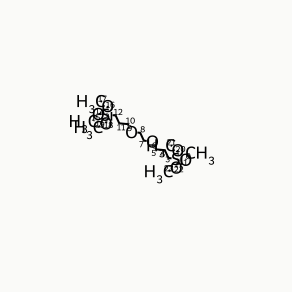 CO[Si](CCCOCCOCCC[Si](OC)(OC)OC)(OC)OC